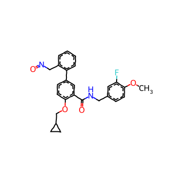 COc1ccc(CNC(=O)c2cc(-c3ccccc3CN=O)ccc2OCC2CC2)cc1F